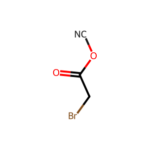 N#COC(=O)CBr